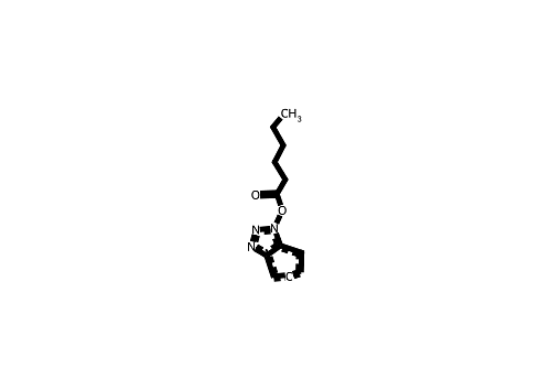 CCCCCC(=O)On1nnc2ccccc21